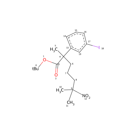 CC(C)(C)OC(=O)C(C)(CCCC(C)(C)[N+](=O)[O-])c1cccc(I)c1